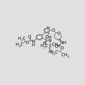 CC(C)OC(=O)Nc1ccc(-c2cnc(OC3CC[C@H](NC(=O)OC(C)C)CO3)s2)c(S(=O)(=O)NC(C)(C)C)c1